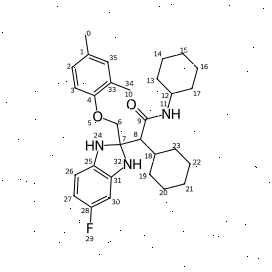 Cc1ccc(OCC2(C(C(=O)NC3CCCCC3)C3CCCCC3)Nc3ccc(F)cc3N2)c(C)c1